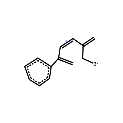 C=C(/C=C\C(=C)c1ccccc1)CBr